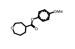 COc1ccc(OC(=O)C2CCCOCC2)cc1